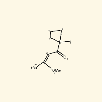 CO/C(=C\C(=O)C1(C)CCC1)C(C)(C)C